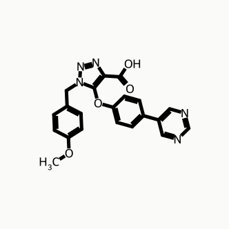 COc1ccc(Cn2nnc(C(=O)O)c2Oc2ccc(-c3cncnc3)cc2)cc1